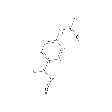 CC(=O)Nc1ccc(C(C)[C]=O)cc1